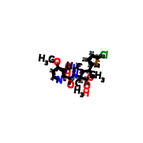 COc1ccnc(C(=O)NC(C)(C(=O)O)C(C)C(C)c2ccc(Cl)s2)c1O